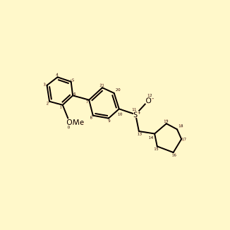 COc1ccc[c]c1-c1ccc([S+]([O-])CC2CCCCC2)cc1